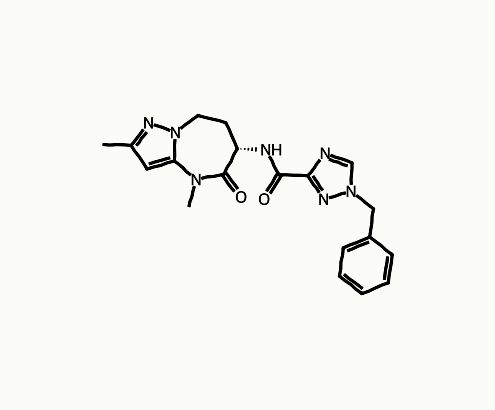 Cc1cc2n(n1)CC[C@H](NC(=O)c1ncn(Cc3ccccc3)n1)C(=O)N2C